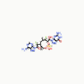 CC1CC2[C@@H](COP(O)(=S)O[C@@H]([C@@H](O)n3nnc4c(=O)[nH]c(N)nc43)[C@@H]1F)O[C@@H](n1nnc3c(N)ncnc31)[C@H]2F